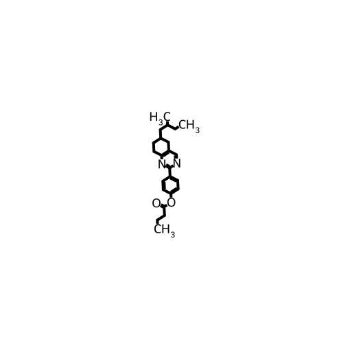 CCCC(=O)Oc1ccc(-c2ncc3c(n2)CCC(CC(C)CC)C3)cc1